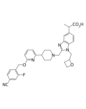 CC(C(=O)O)c1ccc2c(c1)nc(CN1CCC(c3cccc(OCc4ccc(C#N)cc4F)n3)CC1)n2CC1CCO1